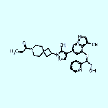 C=CC(=O)N1CCC2(CC1)CC(n1ncc(-c3cc(OC(CO)c4ccccn4)c4c(C#N)cnn4c3)c1C)C2